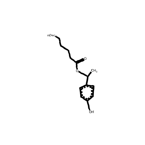 CCCCCCCCCCCCCCC(=O)OC(C)c1ccc(O)cc1